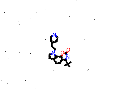 CC(C)(C)c1nc(=O)oc2c1ccc1ccn(CCc3ccncc3)c12